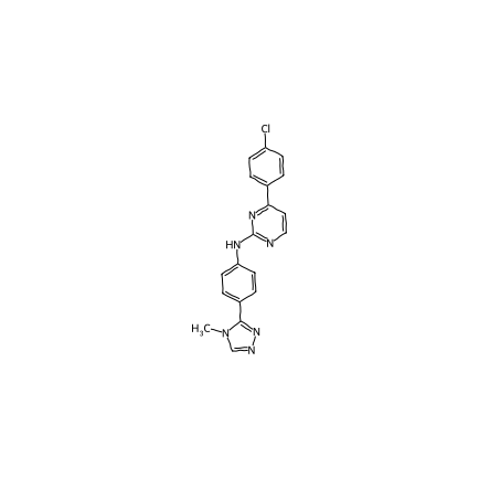 Cn1cnnc1-c1ccc(Nc2nccc(-c3ccc(Cl)cc3)n2)cc1